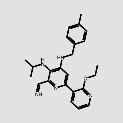 CCOc1ncccc1-c1cc(NCc2ccc(C)cc2)c(NC(C)C)c(C=N)n1